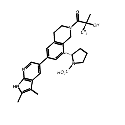 Cc1[nH]c2ncc(-c3cc4c(c([C@@H]5CCCN5C(=O)O)c3)CN(C(=O)[C@](C)(O)C(F)(F)F)CC4)cc2c1C